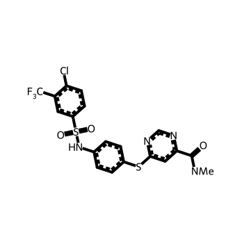 CNC(=O)c1cc(Sc2ccc(NS(=O)(=O)c3ccc(Cl)c(C(F)(F)F)c3)cc2)ncn1